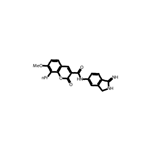 CCCc1c(OC)ccc2cc(C(=O)Nc3ccc4c(c3)CNC4=N)c(=O)oc12